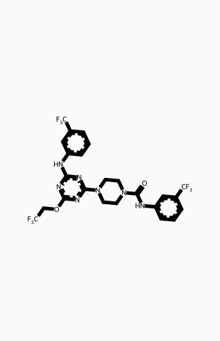 O=C(Nc1cccc(C(F)(F)F)c1)N1CCN(c2nc(Nc3cccc(C(F)(F)F)c3)nc(OCC(F)(F)F)n2)CC1